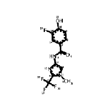 Cn1cc(NC(=O)c2ccc(O)c(F)c2)nc1C(F)(F)F